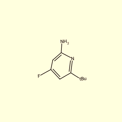 CC(C)(C)c1cc(F)cc(N)n1